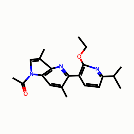 CCOc1nc(C(C)C)ccc1-c1nc2c(C)cn(C(C)=O)c2cc1C